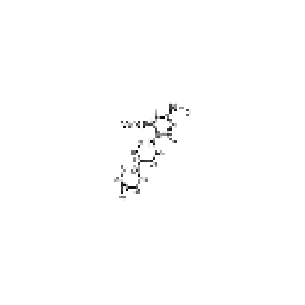 COc1cc(N)cc(C)c1N1CCC(N2CCN(C)CC2)CC1